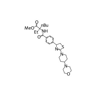 CCCCC(CC)(NC(=O)c1ccc(C2CSC(N3CCC(N4CCOCC4)CC3)=N2)cc1)C(=O)OC